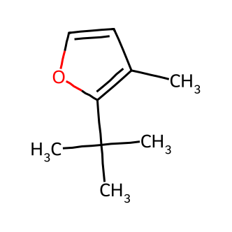 Cc1ccoc1C(C)(C)C